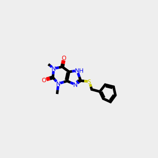 Cn1c(=O)c2[nH]c(SCc3ccccc3)nc2n(C)c1=O